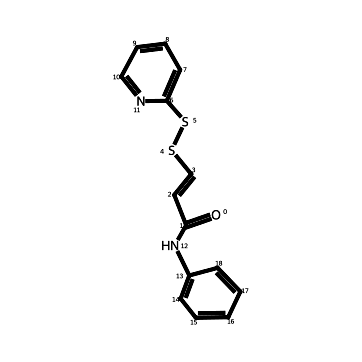 O=C(/C=C/SSc1ccccn1)Nc1ccccc1